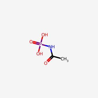 CC(=O)NP(=O)(O)O